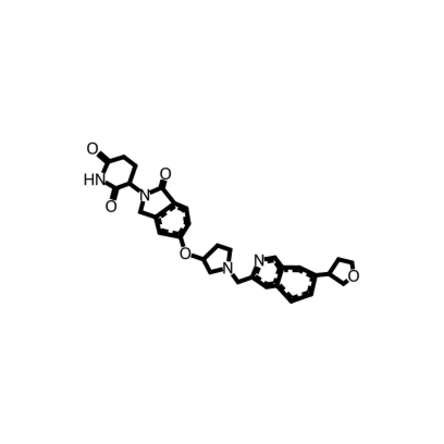 O=C1CCC(N2Cc3cc(OC4CCN(Cc5cc6ccc(C7CCOC7)cc6cn5)C4)ccc3C2=O)C(=O)N1